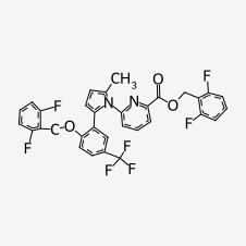 Cc1ccc(-c2cc(C(F)(F)F)ccc2OCc2c(F)cccc2F)n1-c1cccc(C(=O)OCc2c(F)cccc2F)n1